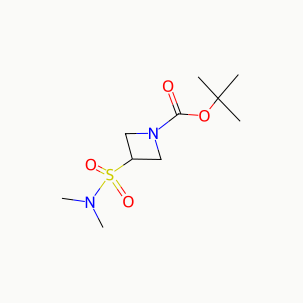 CN(C)S(=O)(=O)C1CN(C(=O)OC(C)(C)C)C1